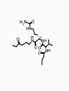 CCCC(=O)N[C@H](C(=O)N[C@@H](CCCNC(N)=O)C(=O)NCCCC(=O)CC)C(C)C